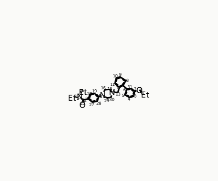 CCOc1cccc(-c2ccccc2CN2CCN(c3ccc(C(=O)N(CC)CC)cc3)CC2)c1